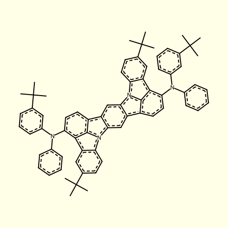 CC(C)(C)c1cccc(N(c2ccccc2)c2ccc3c4cc5c(cc4n4c6ccc(C(C)(C)C)cc6c2c34)c2ccc(N(c3ccccc3)c3cccc(C(C)(C)C)c3)c3c4cc(C(C)(C)C)ccc4n5c23)c1